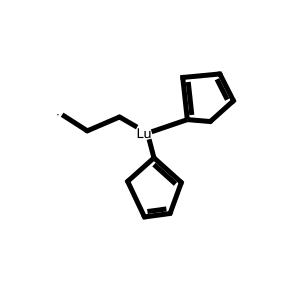 [CH2]C[CH2][Lu]([C]1=CC=CC1)[C]1=CC=CC1